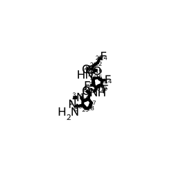 Nc1ncnc2c(C(=O)Nc3c(F)c(F)cc(NS(=O)(=O)CCCF)c3F)cccc12